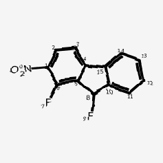 O=[N+]([O-])c1ccc2c(c1F)C(F)c1ccccc1-2